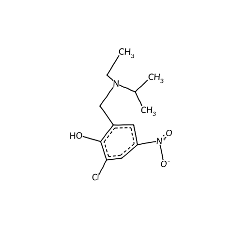 CCN(Cc1cc([N+](=O)[O-])cc(Cl)c1O)C(C)C